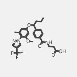 CCCC(Oc1cc(C)c(-n2cc(C(F)(F)F)cn2)c(OC)c1)c1ccc(C(=O)NCCC(=O)O)cc1